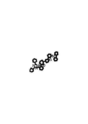 C1=CCC(C2N=C(C3=CCCC=C3)N=C(c3cccc4oc5c(-c6ccc7sc8c(-n9c%10ccccc%10c%10ccccc%109)cccc8c7c6)cccc5c34)N2)C=C1